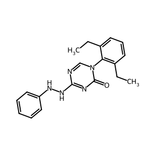 CCc1cccc(CC)c1-n1cnc(NNc2ccccc2)nc1=O